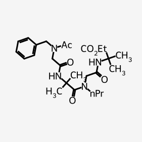 CCCN(CC(=O)NC(C)(C)C(=O)OCC)C(=O)C(C)(C)NC(=O)CN(Cc1ccccc1)C(C)=O